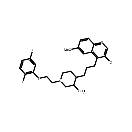 COc1ccc2ncc(Cl)c(CCCC3CCN(CCSc4cc(F)ccc4F)CC3C(=O)O)c2c1